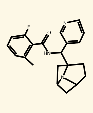 Cc1cccc(F)c1C(=O)NC(c1cccnc1)C12CCC3CC(C1)N32